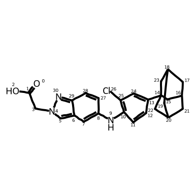 O=C(O)Cn1cc2cc(Nc3ccc(C45CC6CC(CC(C6)C4)C5)cc3Cl)ccc2n1